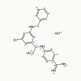 CCc1cc(NCc2cccnc2)cc(C(Nc2ccc(C(=N)N)cc2)C(=O)O)c1.Cl